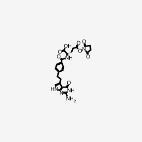 Nc1nc2[nH]cc(CCc3ccc(C(=O)N[C@@H](CCC(=O)ON4C(=O)CCC4=O)C(=O)O)cc3)c2c(=O)[nH]1